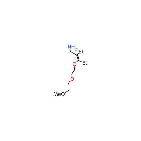 CC/C(CN)=C(\CC)OCCOCCOC